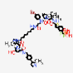 CC1=C(c2ccc(CNC(=O)[C@@H]3C[C@@H](O)CN3C(=O)[C@@H](NC(=O)CCCCCCCCNC(=O)CCN(C(=O)[C@@H]3CCCN3C(=O)[C@@H](NC(=O)c3cc4cc(C(F)(F)P(=O)(O)O)ccc4s3)C(C)(C)C)c3ccc(Br)cc3)C(C)(C)C)cc2)CC=N1